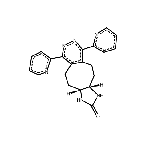 O=C1N[C@H]2CCc3c(-c4ccccn4)nnc(-c4ccccn4)c3CC[C@H]2N1